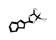 CC(OC(=O)C1=Cc2ccccc2C1)C(F)(F)S(=O)(=O)O